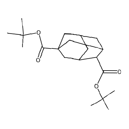 CC(C)(C)OC(=O)C1C2CC3CC1CC(C(=O)OC(C)(C)C)(C3)C2